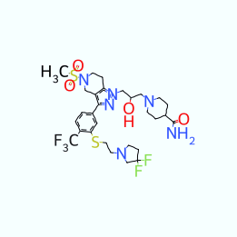 CS(=O)(=O)N1CCc2c(c(-c3ccc(C(F)(F)F)c(SCCN4CCC(F)(F)C4)c3)nn2CC(O)CN2CCC(C(N)=O)CC2)C1